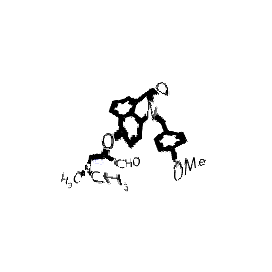 COc1ccc(CN2C(=O)c3cccc4c(O/C(C=O)=C/N(C)C)ccc2c34)cc1